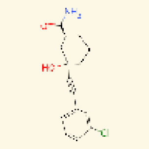 NC(=O)[C@H]1CCCC(O)(C#Cc2cccc(Cl)c2)C1